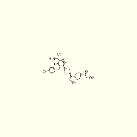 CCC(N)C(=O)N[C@H](Cc1ccc(Cl)cc1)C(=O)N1CCN(N(CC(C)C)C2CCN(C(=O)CO)CC2)CC1